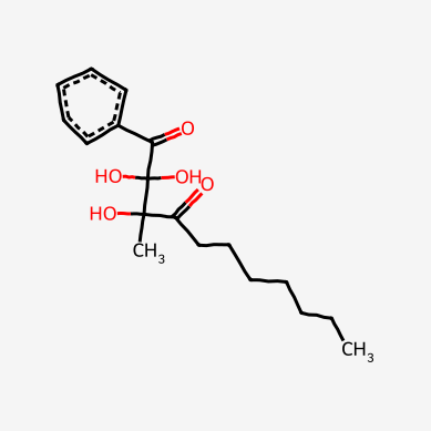 CCCCCCCC(=O)C(C)(O)C(O)(O)C(=O)c1ccccc1